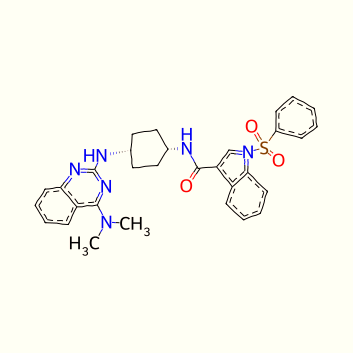 CN(C)c1nc(N[C@H]2CC[C@@H](NC(=O)c3cn(S(=O)(=O)c4ccccc4)c4ccccc34)CC2)nc2ccccc12